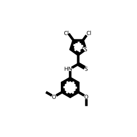 COc1cc(NC(=S)c2cc(Cl)c(Cl)s2)cc(OC)c1